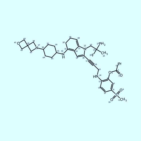 CC(C)C(=O)Oc1cc(S(C)(=O)=O)ccc1NCC#Cc1cc2c(n1CC(C)(F)P)=CCCC=2NC1CCC(N2CC3(COC3)C2)CC1